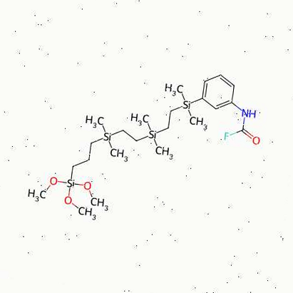 CO[Si](CCC[Si](C)(C)CC[Si](C)(C)CC[Si](C)(C)c1cccc(NC(=O)F)c1)(OC)OC